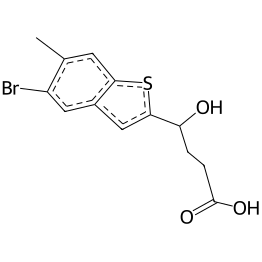 Cc1cc2sc(C(O)CCC(=O)O)cc2cc1Br